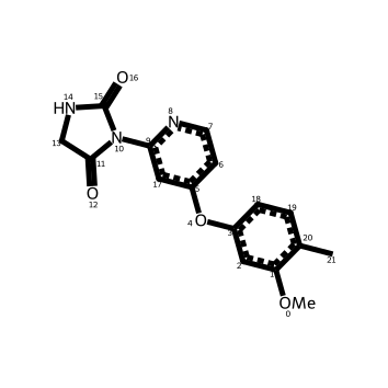 COc1cc(Oc2ccnc(N3C(=O)CNC3=O)c2)ccc1C